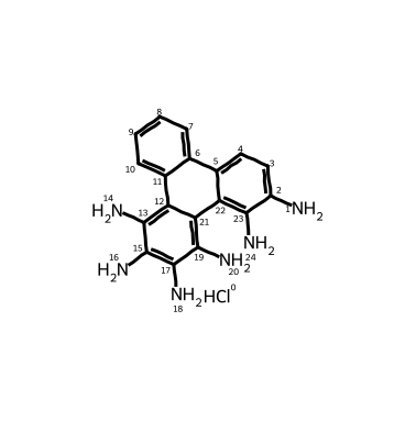 Cl.Nc1ccc2c3ccccc3c3c(N)c(N)c(N)c(N)c3c2c1N